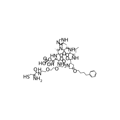 CC(C)C[C@H](NC(=O)C1C[C@H](OCCCCc2ccccc2)CN1C(=O)CCOCCOCCNC(=O)[C@@H](N)CS)C(=O)N[C@@H](Cc1cnc[nH]1)C(=O)N[C@@H](C)C(=O)N[C@H](C(N)=O)[C@@H](C)OP(=O)(O)O